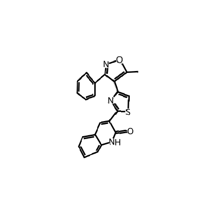 Cc1onc(-c2ccccc2)c1-c1csc(-c2cc3ccccc3[nH]c2=O)n1